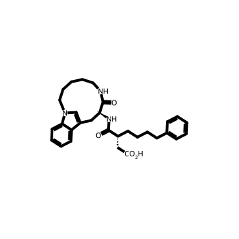 O=C(O)C[C@@H](CCCCc1ccccc1)C(=O)N[C@H]1Cc2cn(c3ccccc23)CCCCCNC1=O